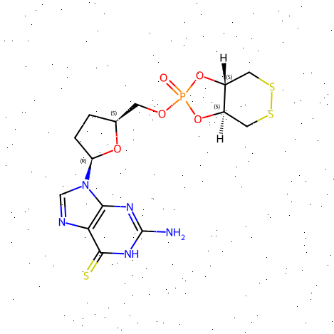 Nc1nc2c(ncn2[C@H]2CC[C@@H](COP3(=O)O[C@@H]4CSSC[C@H]4O3)O2)c(=S)[nH]1